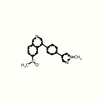 Cn1cc(-c2ccc(-c3cncc4ccc([S+](C)[O-])cc34)cc2)cn1